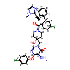 Cn1ccnc1C#C[C@@]1(C(=O)N2CCC(O)(Cn3cnc(Oc4ccc(F)cc4)c(N)c3=O)CC2)CC[C@H](F)C[C@@H]1c1ccccc1